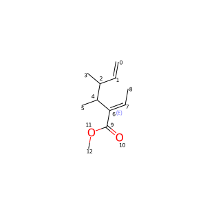 C=CC(C)C(C)/C(=C\C)C(=O)OC